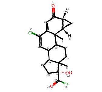 CC12C(=CC(=O)[C@@H]3C[C@@H]31)C(Cl)=CC1C2CCC2(C)C1CC[C@]2(O)C(=O)Cl